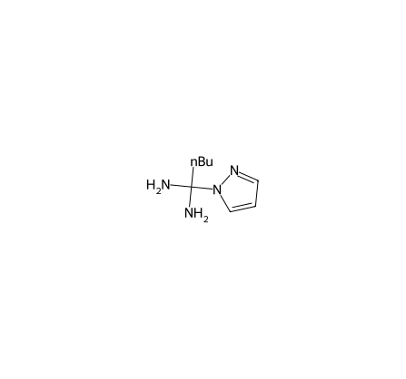 CCCCC(N)(N)n1cccn1